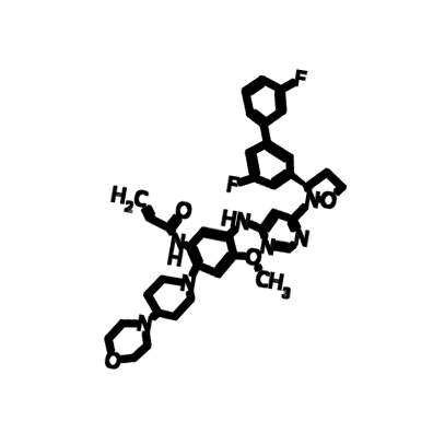 C=CC(=O)Nc1cc(Nc2cc(N3OCC[C@@H]3c3cc(F)cc(-c4cccc(F)c4)c3)ncn2)c(OC)cc1N1CCC(N2CCOCC2)CC1